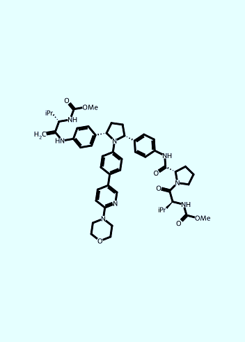 C=C(Nc1ccc([C@@H]2CC[C@H](c3ccc(NC(=O)[C@@H]4CCCN4C(=O)[C@@H](NC(=O)OC)C(C)C)cc3)N2c2ccc(-c3ccc(N4CCOCC4)nc3)cc2)cc1)[C@@H](NC(=O)OC)C(C)C